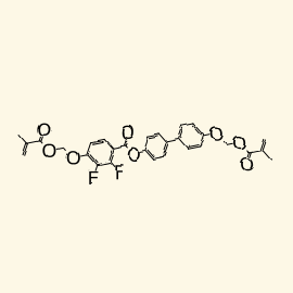 C=C(C)C(=O)OCOc1ccc(-c2ccc(OC(=O)c3ccc(OCOC(=O)C(=C)C)c(F)c3F)cc2)cc1